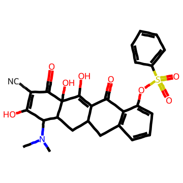 CN(C)C1C(O)=C(C#N)C(=O)C2(O)C(O)=C3C(=O)c4c(cccc4OS(=O)(=O)c4ccccc4)CC3CC12